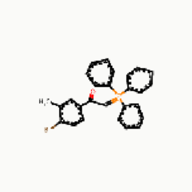 Cc1cc(C(=O)C=P(c2ccccc2)(c2ccccc2)c2ccccc2)ccc1Br